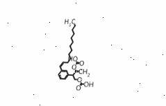 C=C(OC(=O)O)C(COC(=O)O)c1cccc(/C=C\CCCCCCCCCCC)c1